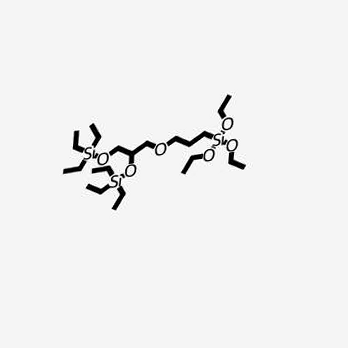 CCO[Si](CCCOCC(CO[Si](CC)(CC)CC)O[Si](CC)(CC)CC)(OCC)OCC